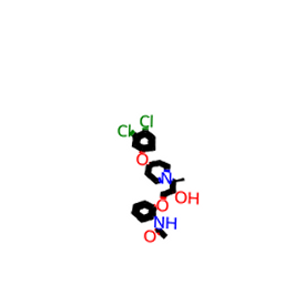 CC(=O)Nc1ccccc1OC[C@H](O)[C@H](C)N1CCC(Oc2ccc(Cl)c(Cl)c2)CC1